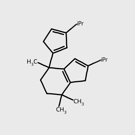 CC(C)C1=CCC(C2(C)CCC(C)(C)C3=C2C=C(C(C)C)C3)=C1